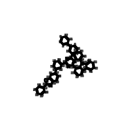 c1ccc(-c2cccc(-c3nc(-c4cccc(-c5ccc6nc(-c7ccccc7)oc6c5)c4)nc(-c4cccc5c6ccccc6n(-c6ccccc6)c45)n3)c2)cc1